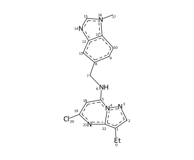 CCc1cnn2c(NCc3ccc4c(c3)ncn4C)cc(Cl)nc12